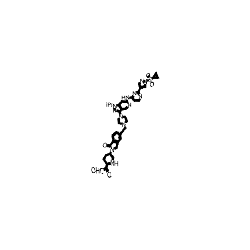 CC(C)n1nc(N2CCN(Cc3ccc4c(c3)CN(C3CCC(C(=O)C=O)NC3)C4=O)CC2)c2cnc(Nc3ccnc(-c4cnn(S(=O)(=O)C5CC5)c4)n3)cc21